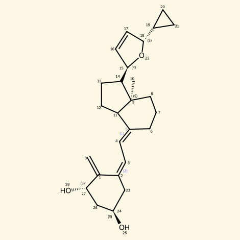 C=C1/C(=C\C=C2/CCC[C@@]3(C)C2CCC3[C@H]2C=C[C@H](C3CC3)O2)C[C@@H](O)C[C@@H]1O